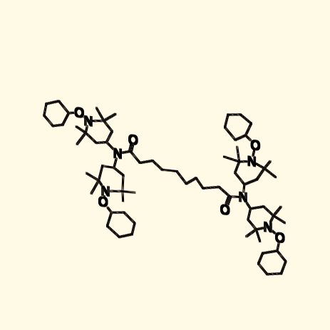 CC1(C)CC(N(C(=O)CCCCCCCCC(=O)N(C2CC(C)(C)N(OC3CCCCC3)C(C)(C)C2)C2CC(C)(C)N(OC3CCCCC3)C(C)(C)C2)C2CC(C)(C)N(OC3CCCCC3)C(C)(C)C2)CC(C)(C)N1OC1CCCCC1